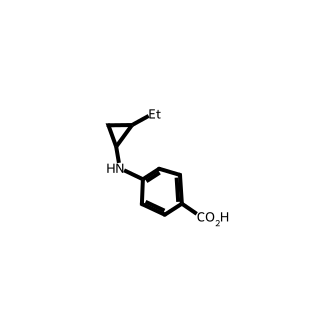 CCC1CC1Nc1ccc(C(=O)O)cc1